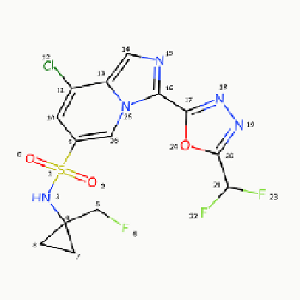 O=S(=O)(NC1(CF)CC1)c1cc(Cl)c2cnc(-c3nnc(C(F)F)o3)n2c1